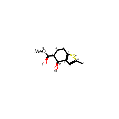 COC(=O)C1CCc2sc(C)cc2C1=O